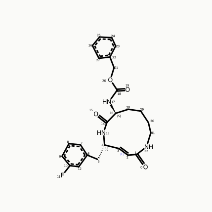 O=C1/C=C/[C@H](Cc2cccc(F)c2)NC(=O)[C@@H](NC(=O)OCc2ccccc2)CCCCN1